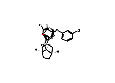 Cn1nc(N[C@H]2[C@@H]3CC[C@H]2CN(c2cnnc(Cl)c2)C3)nc1Oc1cccc(Cl)c1